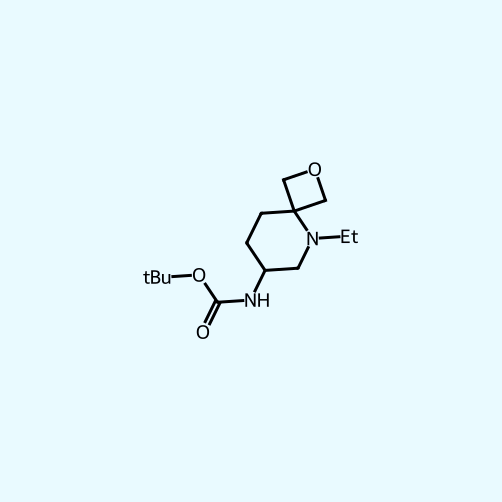 CCN1CC(NC(=O)OC(C)(C)C)CCC12COC2